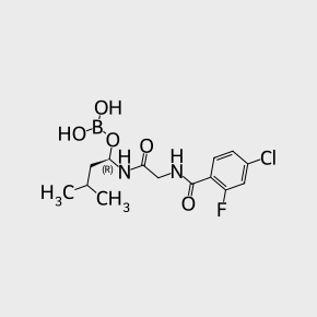 CC(C)C[C@H](NC(=O)CNC(=O)c1ccc(Cl)cc1F)OB(O)O